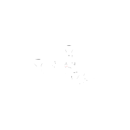 CCCN(CCC)C(=O)c1cccc(C(=O)N[C@@H](Cc2ccccc2)P(=O)(O)CC(C)C(=O)NC(C)Cc2ccccc2)c1